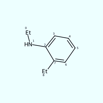 CCNc1ccccc1CC